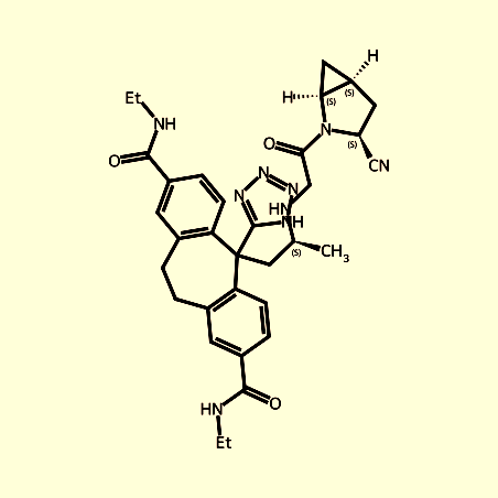 CCNC(=O)c1ccc2c(c1)CCc1cc(C(=O)NCC)ccc1C2(C[C@H](C)NCC(=O)N1[C@H](C#N)C[C@@H]2C[C@@H]21)c1nnn[nH]1